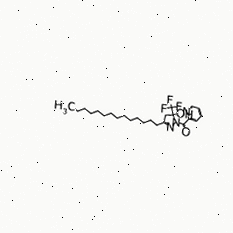 CCCCCCCCCCCCCCC1=NN(C(=O)c2ccccn2)C(O)(C(F)(F)F)C1